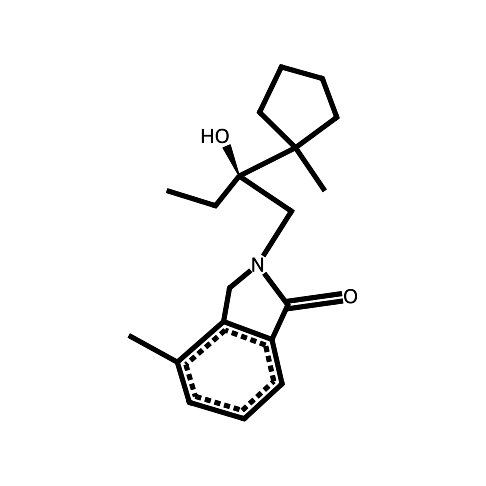 CC[C@@](O)(CN1Cc2c(C)cccc2C1=O)C1(C)CCCC1